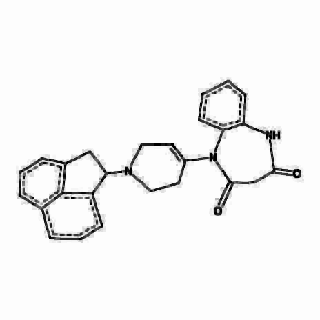 O=C1CC(=O)N(C2=CCN(C3Cc4cccc5cccc3c45)CC2)c2ccccc2N1